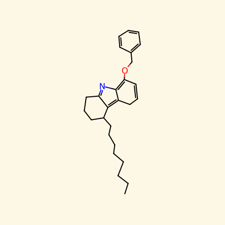 CCCCCCCCC1CCCC2=NC3=C(OCc4ccccc4)C=CCC3=C21